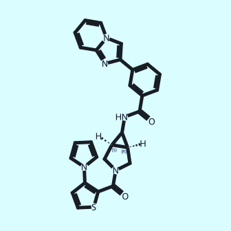 O=C(NC1[C@H]2CN(C(=O)c3sccc3-n3cccc3)C[C@@H]12)c1cccc(-c2cn3ccccc3n2)c1